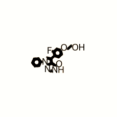 O=c1[nH]cnc2c1c(-c1ccc(OCCO)cc1F)cn2-c1ccccc1